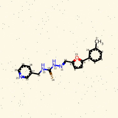 Cc1cccc(-c2ccc(/C=N/NC(=S)NCc3cccnc3)o2)c1